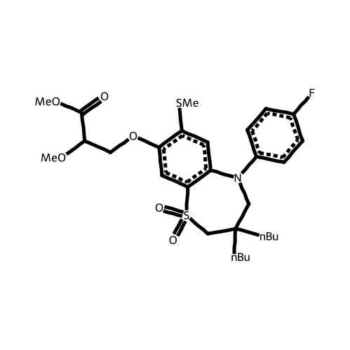 CCCCC1(CCCC)CN(c2ccc(F)cc2)c2cc(SC)c(OCC(OC)C(=O)OC)cc2S(=O)(=O)C1